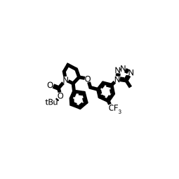 Cc1nnnn1-c1cc(COC2CCCN(C(=O)OC(C)(C)C)C2c2ccccc2)cc(C(F)(F)F)c1